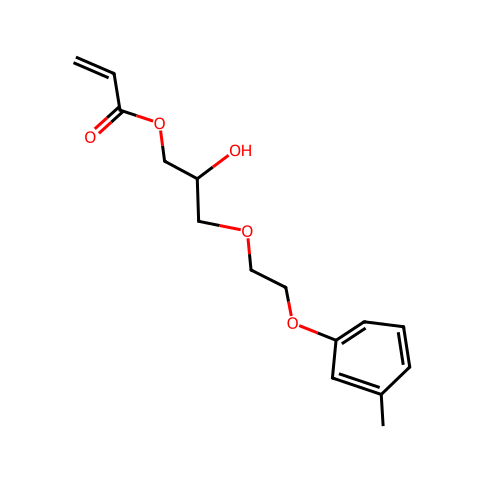 C=CC(=O)OCC(O)COCCOc1cccc(C)c1